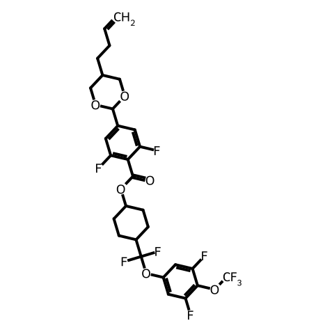 C=CCCC1COC(c2cc(F)c(C(=O)OC3CCC(C(F)(F)Oc4cc(F)c(OC(F)(F)F)c(F)c4)CC3)c(F)c2)OC1